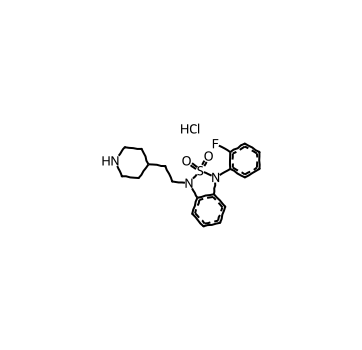 Cl.O=S1(=O)N(CCC2CCNCC2)c2ccccc2N1c1ccccc1F